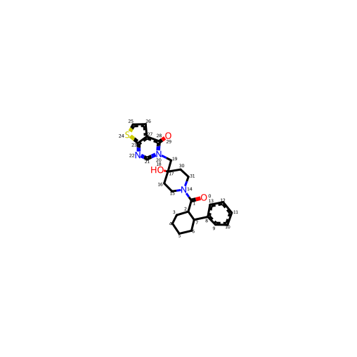 O=C(C1CCCCC1c1ccccc1)N1CCC(O)(Cn2cnc3sccc3c2=O)CC1